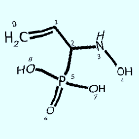 C=CC(NO)P(=O)(O)O